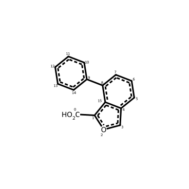 O=C(O)c1occ2cccc(-c3ccccc3)c12